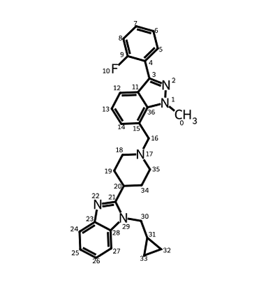 Cn1nc(-c2ccccc2F)c2cccc(CN3CCC(c4nc5ccccc5n4CC4CC4)CC3)c21